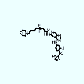 O=C(C=CC(F)(F)CCCCN1CCOCC1)Nc1cc2c(Nc3ccc(C(=O)c4ncc[nH]4)c(Cl)c3)ncnc2cn1